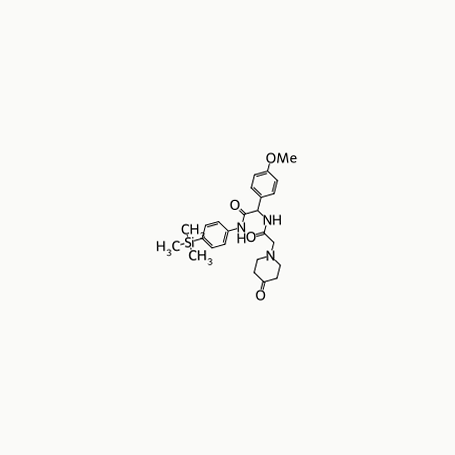 COc1ccc(C(NC(=O)CN2CCC(=O)CC2)C(=O)Nc2ccc([Si](C)(C)C)cc2)cc1